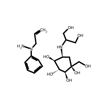 C=CCN(N)c1ccccc1.OCC(CO)N[C@H]1C[C@](O)(CO)[C@@H](O)[C@H](O)[C@H]1O